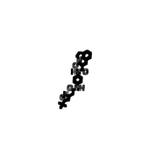 CC(C)(C)c1cc(CC(=O)Nc2ccc(NC(=O)c3cc4cccc5c4n(c3=O)CC5)cc2)no1